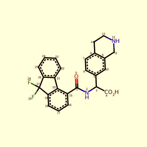 O=C(NC(C(=O)O)c1ccc2c(c1)CNCC2)c1cccc2c1-c1ccccc1C2(F)F